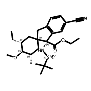 CCOC(=O)[C@]1(N[S@@+]([O-])C(C)(C)C)c2cc(C#N)ccc2C[C@@]12C[C@@H](CC)[C@H](OC)[C@@H](C)C2